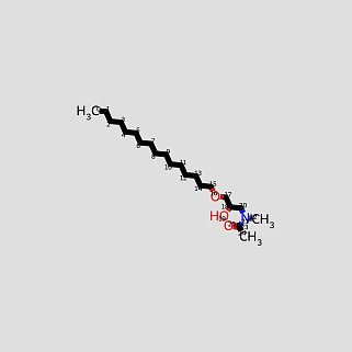 CCCCCCCCCCCCCCCCOCC(O)CN(C)C(C)=O